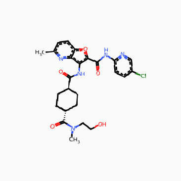 Cc1ccc2oc(C(=O)Nc3ccc(Cl)cn3)c(NC(=O)[C@H]3CC[C@H](C(=O)N(C)CCO)CC3)c2n1